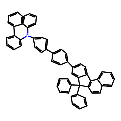 c1ccc(-c2ccccc2N(c2ccccc2)c2ccc(-c3ccc(-c4ccc5c(c4)C(c4ccccc4)(c4ccccc4)c4ccc6ccccc6c4-5)cc3)cc2)cc1